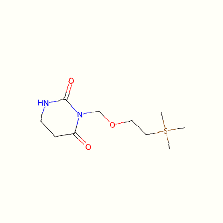 CS(C)(C)CCOCN1C(=O)CCNC1=O